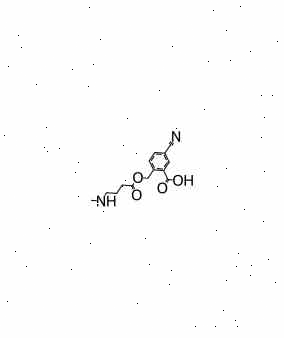 CNCCCC(=O)OCc1ccc(C#N)cc1C(=O)O